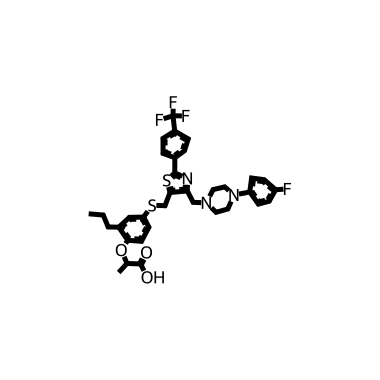 CCCc1cc(SCc2sc(-c3ccc(C(F)(F)F)cc3)nc2CN2CCN(c3ccc(F)cc3)CC2)ccc1OC(C)C(=O)O